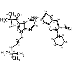 CC(C)(C)C(=O)c1cn(COCC[Si](C)(C)C)c2ncc(Nc3ccc(C=C(C#N)C(=O)N4CCCCC4)cc3)nc12